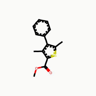 COC(=O)c1sc(C)c(-c2ccccc2)c1C